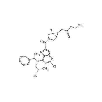 CCOC(=O)C[C@H]1C2CN(C(=O)c3cc4nc(Cl)cc(N(CC(C)C)[C@@H](C)c5ccccc5)n4n3)C[C@H]21